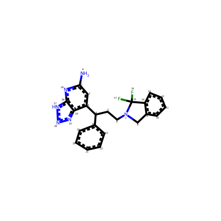 Nc1cc(C(CCN2Cc3ccccc3C2(F)F)c2ccccc2)c2nn[nH]c2n1